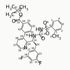 Cc1ccccc1S(=O)(=O)NC(=O)N[C@@H](Cc1cc(F)cc(F)c1)c1ncccc1-c1cccc(C(=O)OC(C)(C)C)c1